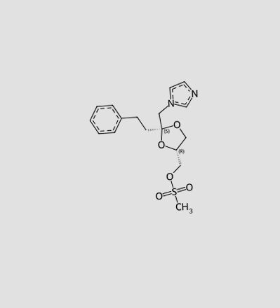 CS(=O)(=O)OC[C@H]1CO[C@](CCc2ccccc2)(Cn2ccnc2)O1